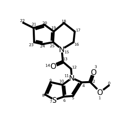 COC(=O)c1cc2sccc2n1CC(=O)N1CCCc2cc(C)ccc21